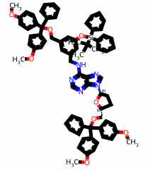 COc1ccc(C(OCc2cc(CNc3ncnc4c3ncn4[C@H]3C[CH][C@H](COC(c4ccccc4)(c4ccc(OC)cc4)c4ccc(OC)cc4)O3)cc(O[Si](c3ccccc3)(c3ccccc3)C(C)(C)C)c2)(c2ccccc2)c2ccc(OC)cc2)cc1